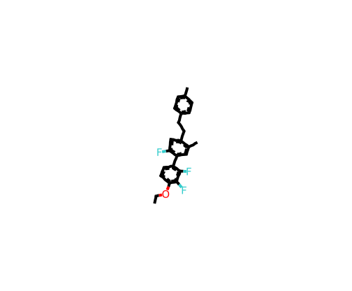 CCOc1ccc(-c2cc(C)c(CCc3ccc(C)cc3)cc2F)c(F)c1F